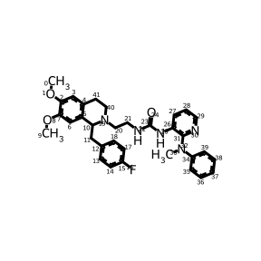 COc1cc2c(cc1OC)C(Cc1ccc(F)cc1)N(CCNC(=O)Nc1cccnc1N(C)c1ccccc1)CC2